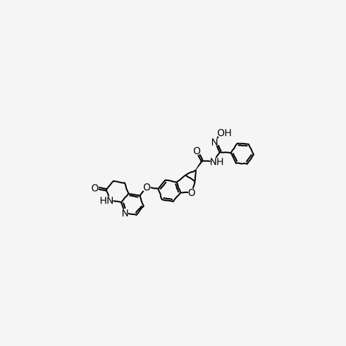 O=C1CCc2c(Oc3ccc4c(c3)C3C(O4)[C@@H]3C(=O)NC(=NO)c3ccccc3)ccnc2N1